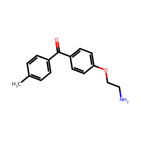 Cc1ccc(C(=O)c2ccc(OCCN)cc2)cc1